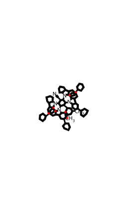 Cc1cc(C)cc(-c2c(-n3c4ccc(-c5ccccc5)cc4c4cc(-c5ccccc5)ccc43)c(-n3c4ccccc4c4ccccc43)c(C#N)c(-n3c4ccccc4c4ccccc43)c2-n2c3ccc(-c4ccccc4)cc3c3cc(-c4ccccc4)ccc32)c1